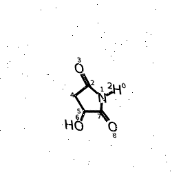 [2H]N1C(=O)CC(O)C1=O